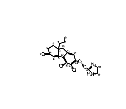 CCCC12CCC(=O)C=C1c1c(cc(OCC3=NCCN3)c(Cl)c1Cl)C2